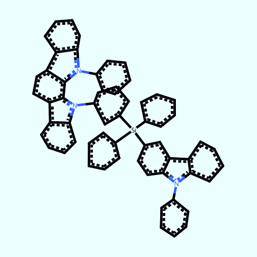 c1ccc(-n2c3ccccc3c3cc([Si](c4ccccc4)(c4ccccc4)c4cccc(-n5c6ccccc6c6ccc7c8ccccc8n(-c8ccccc8)c7c65)c4)ccc32)cc1